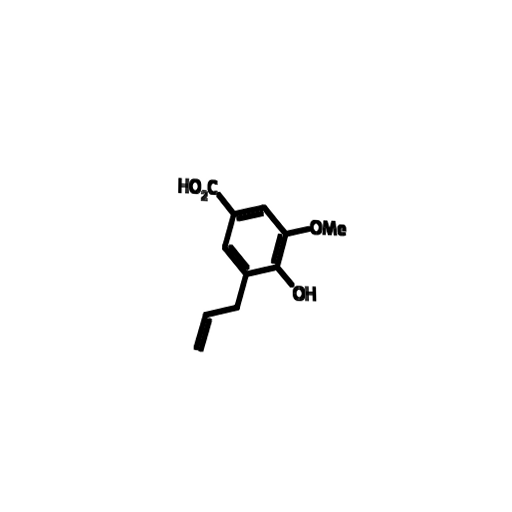 C=CCc1cc(C(=O)O)cc(OC)c1O